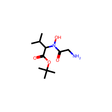 CC(C)C(C(=O)OC(C)(C)C)N(O)C(=O)CN